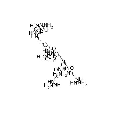 CC(C)(C)OC(=O)N[C@@H](Cc1ccc(CCCCNC(=N)NC(=O)c2nc(Cl)c(N)nc2N)cc1)C(=O)Nc1ccc(CCCN(CCCNC(=O)[C@@H](N)CCCCNC(=N)N)CCCNC(=O)[C@@H](N)CCCCNC(=N)N)cc1